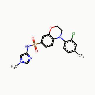 Cn1cnc(NS(=O)(=O)c2ccc3c(c2)OCCN3c2ccc(C(F)(F)F)cc2Cl)c1